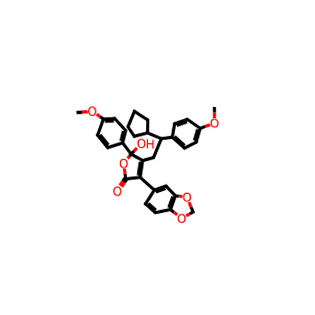 COc1ccc(C(CC2=C(c3ccc4c(c3)OCO4)C(=O)OC2(O)c2ccc(OC)cc2)C2CCCC2)cc1